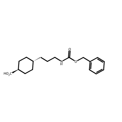 O=C(NCCC[C@H]1CC[C@H](C(=O)O)CC1)OCc1ccccc1